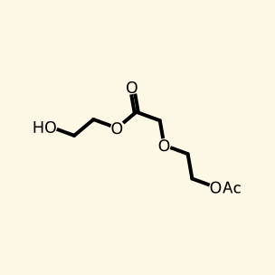 CC(=O)OCCOCC(=O)OCCO